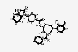 O=C(N[C@@H]1CC[C@@H](c2cccc(F)c2F)CN(C(=O)c2ccccc2)C1)N1CCC(n2c(=O)[nH]c3ncccc32)CC1